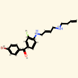 C=CCCNCC=CCNc1ccc(C(=O)c2ccc(Br)cc2)cc1F